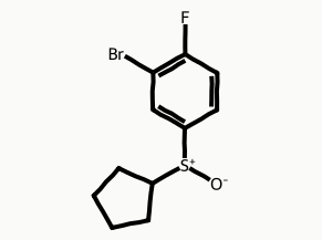 [O-][S+](c1ccc(F)c(Br)c1)C1CCCC1